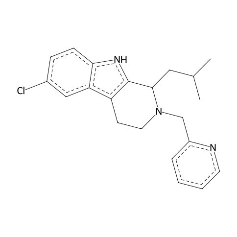 CC(C)CC1c2[nH]c3ccc(Cl)cc3c2CCN1Cc1ccccn1